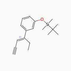 C#C/C=C(\CC)c1cccc(O[Si](C)(C)C(C)(C)C)c1